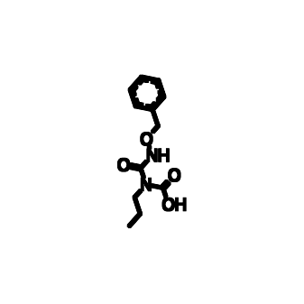 CCCN(C(=O)O)C(=O)NOCc1ccccc1